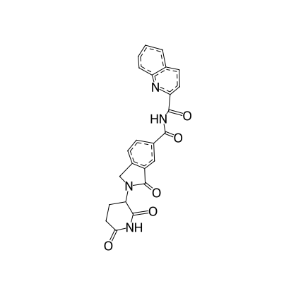 O=C1CCC(N2Cc3ccc(C(=O)NC(=O)c4ccc5ccccc5n4)cc3C2=O)C(=O)N1